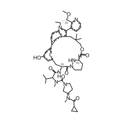 CCn1c(-c2cccnc2[C@H](C)OC)c2c3cc(ccc31)-c1cc(O)cc(c1)C[C@H](NC(=O)C(C(C)C)N(C)C(=O)N1CC[C@@H](N(C)C(=O)C3CC3)C1)C(=O)N1CCC[C@H](N1)C(=O)OCC(C)(C)C2